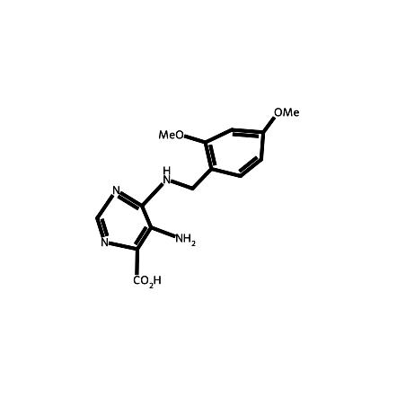 COc1ccc(CNc2ncnc(C(=O)O)c2N)c(OC)c1